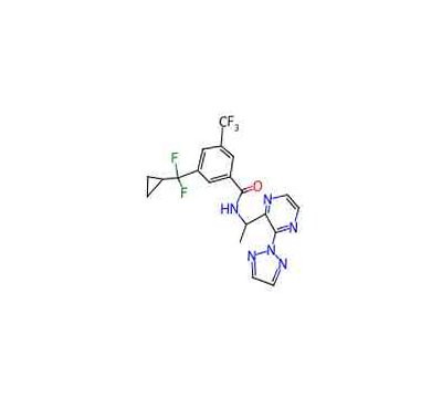 CC(NC(=O)c1cc(C(F)(F)F)cc(C(F)(F)C2CC2)c1)c1nccnc1-n1nccn1